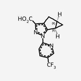 O=C(O)c1nn(-c2ccc(C(F)(F)F)cn2)c2c1C[C@H]1C[C@@H]21